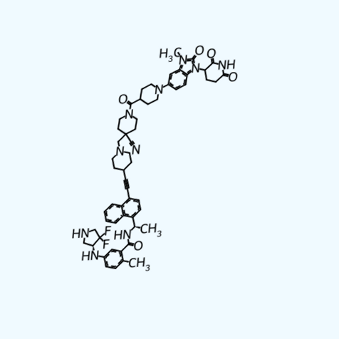 Cc1ccc(N[C@H]2CNCC2(F)F)cc1C(=O)N[C@H](C)c1ccc(C#CC2CCN(CC3(C#N)CCN(C(=O)C4CCN(c5ccc6c(c5)n(C)c(=O)n6C5CCC(=O)NC5=O)CC4)CC3)CC2)c2ccccc12